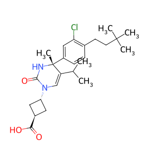 CC(C)C1=CN([C@H]2C[C@H](C(=O)O)C2)C(=O)N[C@]1(C)c1ccc(CCC(C)(C)C)c(Cl)c1